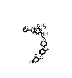 Nc1nc(NCCN2CCN(c3ccc(O[C@H]4CNC[C@H]4F)cc3F)CC2)nc2nc(-c3ccco3)nn12